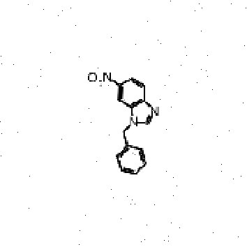 O=[N+]([O-])c1ccc2ncn(Cc3ccccc3)c2c1